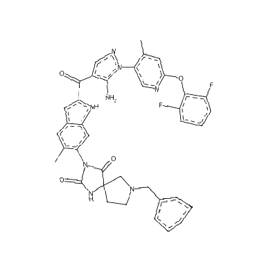 Cc1cc2cc(C(=O)c3cnn(-c4cnc(Oc5c(F)cccc5F)cc4C)c3N)[nH]c2cc1N1C(=O)NC2(CCN(Cc3ccccc3)C2)C1=O